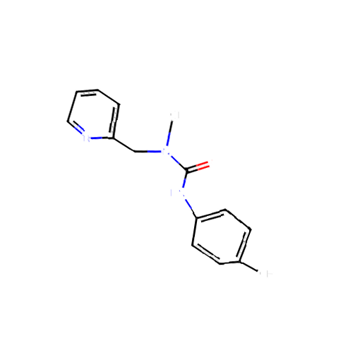 Cc1ccc(NC(=O)N(C)Cc2ccccn2)cc1